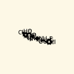 O=C(COc1ccc(Cl)c(F)c1)NC12CC(NC(=O)C3(F)CC(O)c4cc(Cl)ccc4O3)(C1)C2